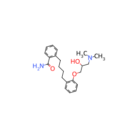 CN(C)CC(O)COc1ccccc1CCCCc1ccccc1C(N)=O